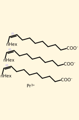 CCCCCC/C=C\CCCCCCCC(=O)[O-].CCCCCC/C=C\CCCCCCCC(=O)[O-].CCCCCC/C=C\CCCCCCCC(=O)[O-].[Pr+3]